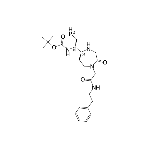 CC(C)(C)OC(=O)N[C@@H](CP)[C@@H]1CCN(CC(=O)NCCc2ccccc2)C(=O)CN1